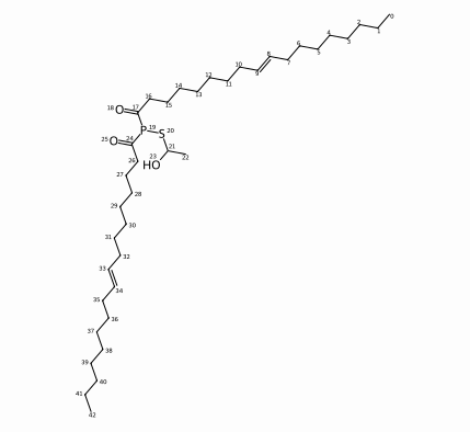 CCCCCCCCC=CCCCCCCCC(=O)P(SC(C)O)C(=O)CCCCCCCC=CCCCCCCCC